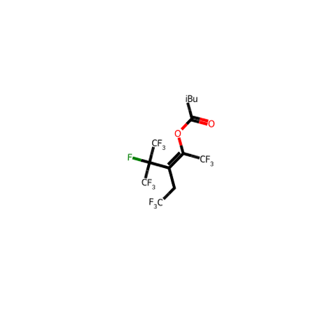 CCC(C)C(=O)O/C(=C(/CC(F)(F)F)C(F)(C(F)(F)F)C(F)(F)F)C(F)(F)F